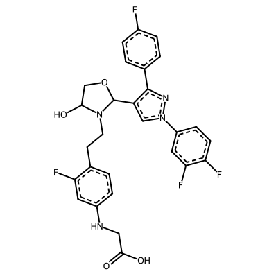 O=C(O)CNc1ccc(CCN2C(O)COC2c2cn(-c3ccc(F)c(F)c3)nc2-c2ccc(F)cc2)c(F)c1